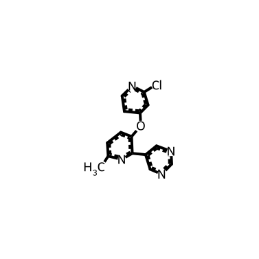 Cc1ccc(Oc2ccnc(Cl)c2)c(-c2cncnc2)n1